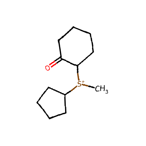 C[S+](C1CCCC1)C1CCCCC1=O